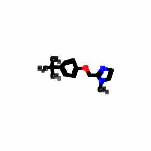 Cn1ccnc1COc1ccc(C(C)(C)C)cc1